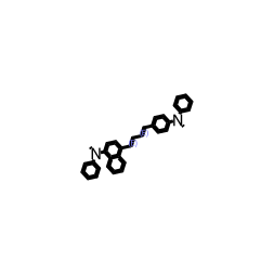 CN(c1ccccc1)c1ccc(/C=C/C=C/c2ccc(N(C)c3ccccc3)c3ccccc23)cc1